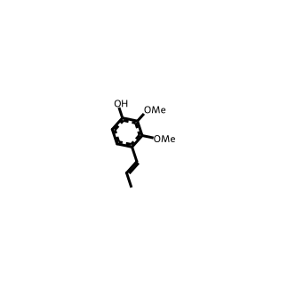 CC=Cc1ccc(O)c(OC)c1OC